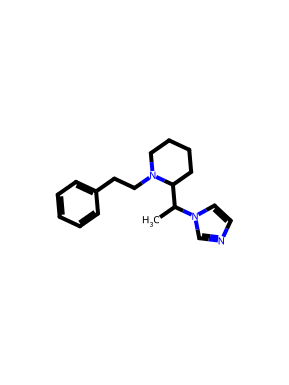 CC(C1CCCCN1CCc1ccccc1)n1ccnc1